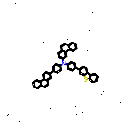 c1ccc2c(c1)ccc1cc(-c3ccc(N(c4ccc(-c5ccc6c(c5)sc5ccccc56)cc4)c4ccc5ccc6ccccc6c5c4)cc3)ccc12